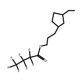 CCC1CCC(CCCOC(=O)C(F)(F)C(F)(F)C(F)(F)F)C1